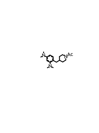 CC(=O)N1CCC(Cc2ccc(N(C)C)cc2N(C)C)CC1